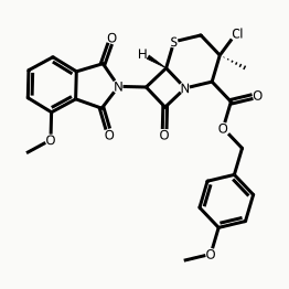 COc1ccc(COC(=O)C2N3C(=O)C(N4C(=O)c5cccc(OC)c5C4=O)[C@@H]3SC[C@@]2(C)Cl)cc1